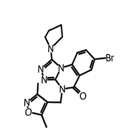 Cc1noc(C)c1Cn1c(=O)c2cc(Br)ccc2n2c(N3CCCC3)nnc12